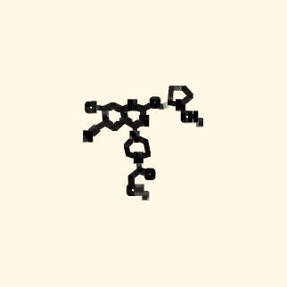 C=CC(=O)N1CCN(c2nc(OC[C@@H]3CCCN3C)nc3cc(Cl)c(C#N)cc23)CC1